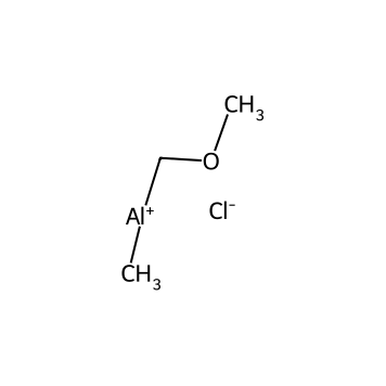 CO[CH2][Al+][CH3].[Cl-]